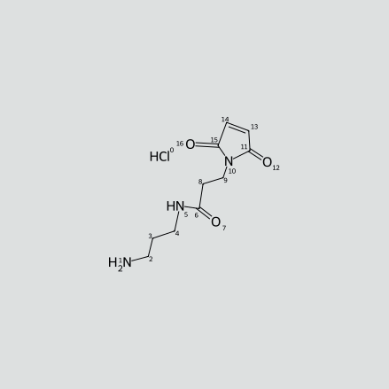 Cl.NCCCNC(=O)CCN1C(=O)C=CC1=O